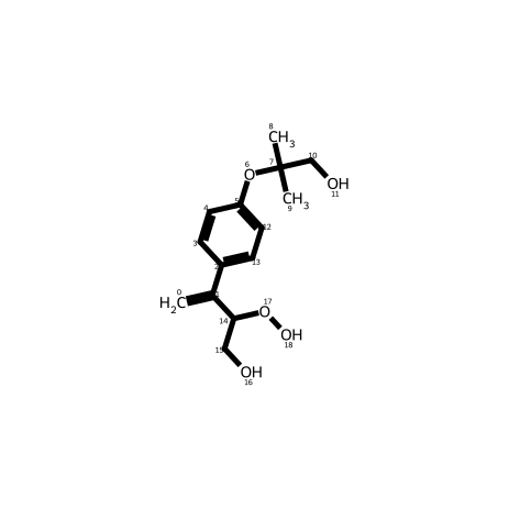 C=C(c1ccc(OC(C)(C)CO)cc1)C(CO)OO